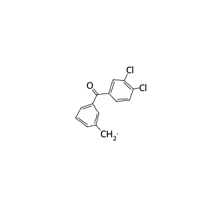 [CH2]c1cccc(C(=O)c2ccc(Cl)c(Cl)c2)c1